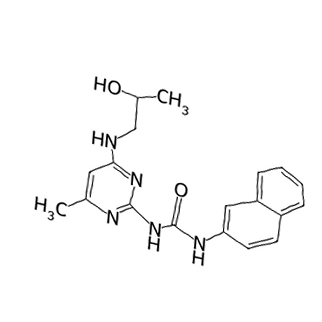 Cc1cc(NCC(C)O)nc(NC(=O)Nc2ccc3ccccc3c2)n1